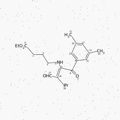 CCOC(=O)CCCN/C(C(=O)c1cc(C)cc(C)c1)=C(\C=O)C(C)C